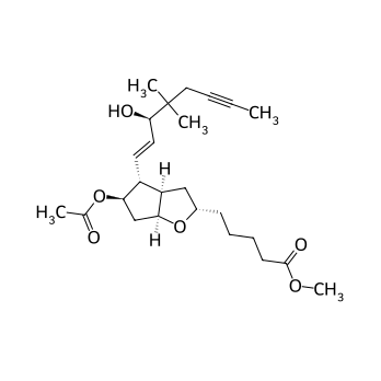 CC#CCC(C)(C)[C@H](O)C=C[C@@H]1[C@H]2C[C@H](CCCCC(=O)OC)O[C@H]2C[C@H]1OC(C)=O